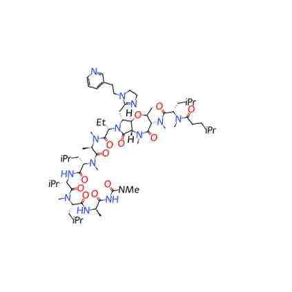 CC[C@@H](C(=O)N(C)[C@H](C)C(=O)N(C)[C@@H](CC(C)C)C(=O)N[C@H](C(=O)N(C)[C@@H](CC(C)C)C(=O)N[C@H](C)C(=O)NC(=O)NC)C(C)C)N1C(=O)[C@@H]2[C@H](OC(C)[C@H](N(C)C(=O)[C@H](CC(C)C)N(C)C(=O)CCC(C)C)C(=O)N2C)[C@H]1CC1=NCCN1CCc1cccnc1